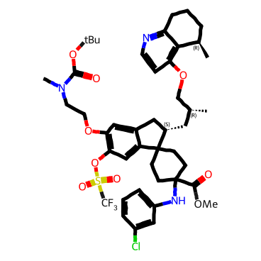 COC(=O)C1(Nc2cccc(Cl)c2)CCC2(CC1)c1cc(OS(=O)(=O)C(F)(F)F)c(OCCN(C)C(=O)OC(C)(C)C)cc1C[C@@H]2C[C@@H](C)COc1ccnc2c1[C@H](C)CCC2